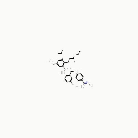 CCOC(=O)CCc1c(CNc2ccc(F)cc2C(=O)Nc2ccc(/C(N)=N/O)cc2)cc(CO)cc1OC(C)C